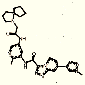 Cc1ncc(NC(=O)CN2CCCC23CCCC3)cc1NC(=O)c1nnc2cc(-c3cnn(C)c3)ccn12